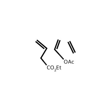 C=C.C=CCC(=O)OCC.C=COC(C)=O